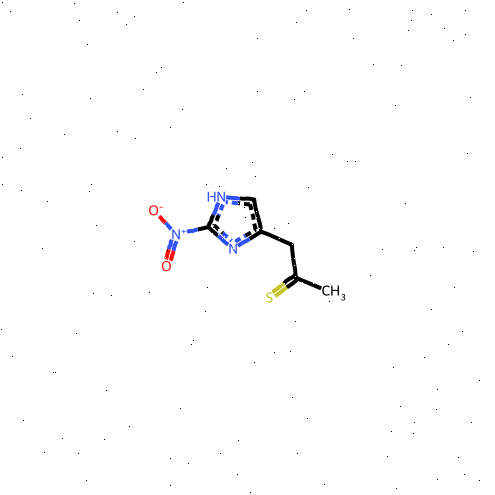 CC(=S)Cc1c[nH]c([N+](=O)[O-])n1